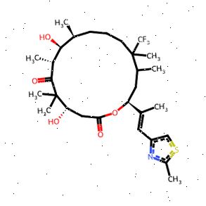 C/C(=C\c1csc(C)n1)[C@@H]1CC(C)C(C)(C(F)(F)F)CCC[C@H](C)[C@H](O)[C@@H](C)C(=O)C(C)(C)[C@@H](O)CC(=O)O1